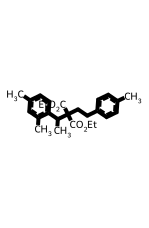 CCOC(=O)C(CCc1ccc(C)cc1)(C(=O)OCC)C(C)c1ccc(C)cc1C